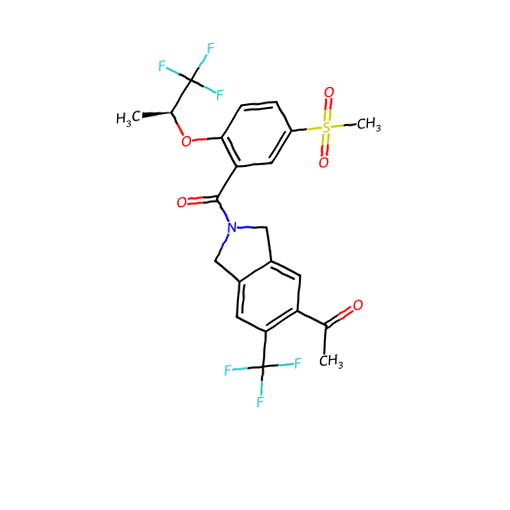 CC(=O)c1cc2c(cc1C(F)(F)F)CN(C(=O)c1cc(S(C)(=O)=O)ccc1O[C@@H](C)C(F)(F)F)C2